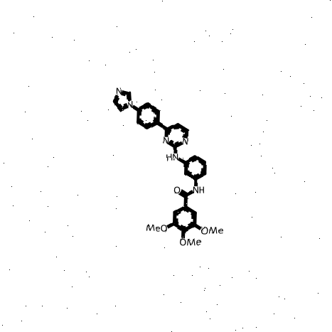 COc1cc(C(=O)Nc2cccc(Nc3nccc(-c4ccc(-n5ccnc5)cc4)n3)c2)cc(OC)c1OC